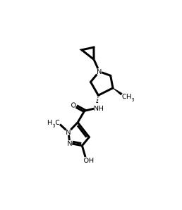 C[C@@H]1CN(C2CC2)C[C@H]1NC(=O)c1cc(O)nn1C